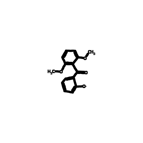 COc1cccc(OC)c1C(=O)c1ccccc1[O]